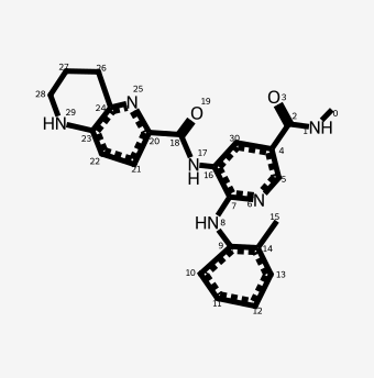 CNC(=O)c1cnc(Nc2ccccc2C)c(NC(=O)c2ccc3c(n2)CCCN3)c1